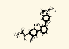 CC(=O)Nc1ccc(-c2cccc(-c3ccc4c(c3)ncn4C)c2O)cc1F